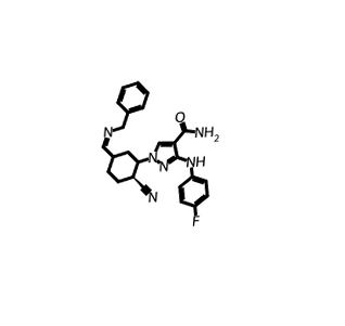 N#C[C@H]1CCC(/C=N\Cc2ccccc2)CC1n1cc(C(N)=O)c(Nc2ccc(F)cc2)n1